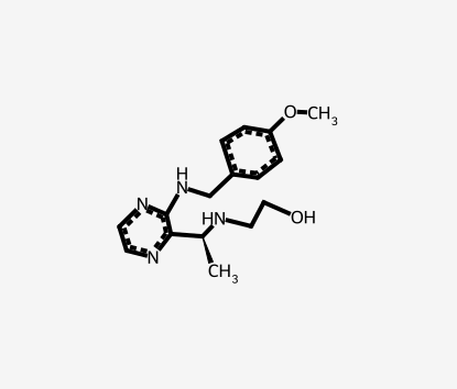 COc1ccc(CNc2nccnc2[C@H](C)NCCO)cc1